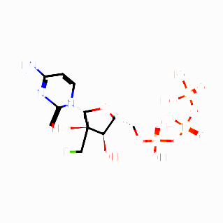 C=C1N=C(N)C=CN1[C@@H]1O[C@H](COP(=O)(O)OP(=O)(O)OP(=O)(O)O)[C@@H](O)[C@]1(O)CF